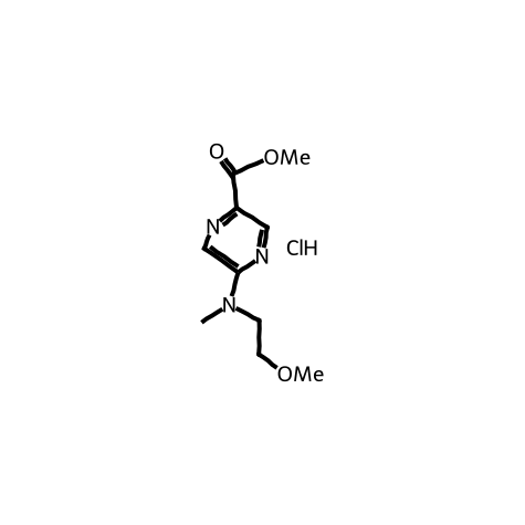 COCCN(C)c1cnc(C(=O)OC)cn1.Cl